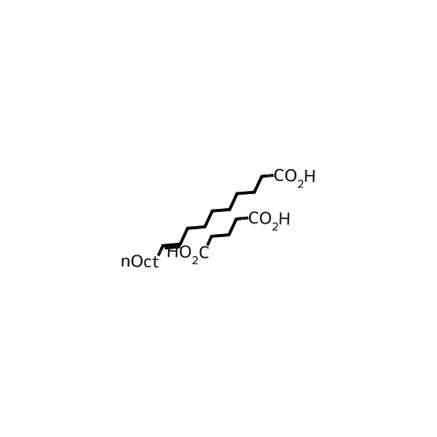 CCCCCCCCC=CCCCCCCCC(=O)O.O=C(O)CCCC(=O)O